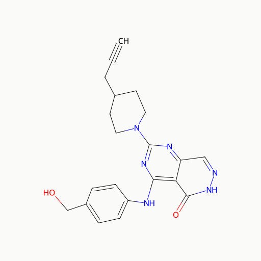 C#CCC1CCN(c2nc(Nc3ccc(CO)cc3)c3c(=O)[nH]ncc3n2)CC1